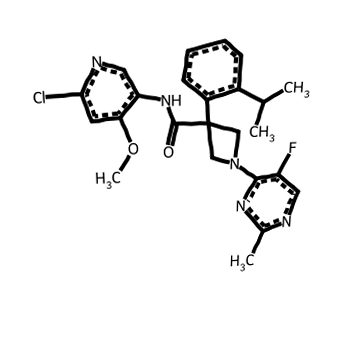 COc1cc(Cl)ncc1NC(=O)C1(c2ccccc2C(C)C)CN(c2nc(C)ncc2F)C1